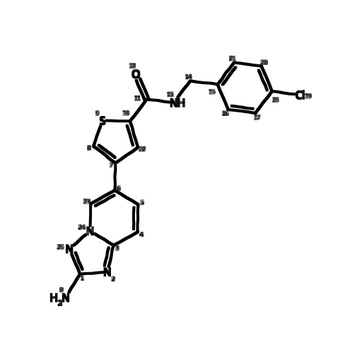 Nc1nc2ccc(-c3csc(C(=O)NCc4ccc(Cl)cc4)c3)cn2n1